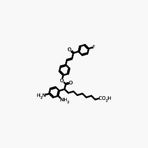 Nc1ccc(C(CCCCCCCC(=O)O)C(=O)Oc2ccc(C=CC(=O)c3ccc(F)cc3)cc2)c(N)c1